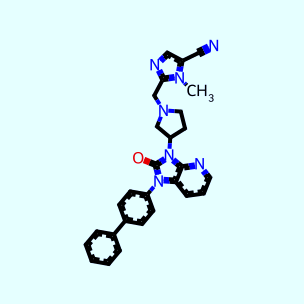 Cn1c(C#N)cnc1CN1CCC(n2c(=O)n(-c3ccc(-c4ccccc4)cc3)c3cccnc32)C1